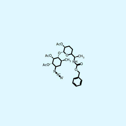 CC(=O)O[C@H]1[C@H](O[C@H]2OC([C@@H](C)NC(=O)OCc3ccccc3)CC[C@@H]2OC(C)=O)[C@@H](C)CC(N=[N+]=[N-])[C@@H]1OC(C)=O